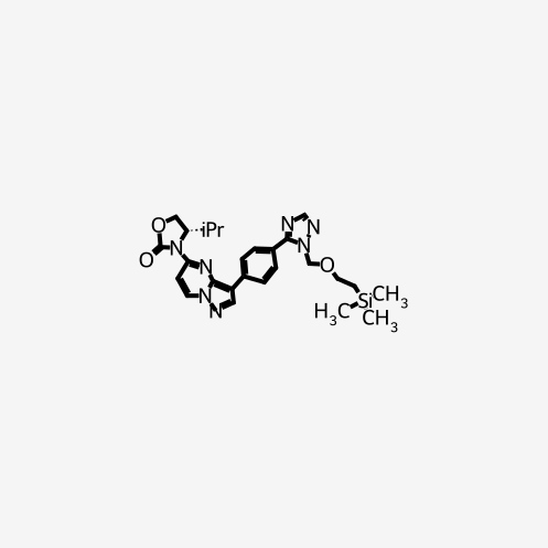 CC(C)[C@H]1COC(=O)N1c1ccn2ncc(-c3ccc(-c4ncnn4COCC[Si](C)(C)C)cc3)c2n1